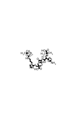 CC(C)(C)OC(=O)NCCCn1nnnc1SCC1(C(=O)O)CS[C@@H]2C(NC(=O)C(=NOC(C)(C)C(=O)O)c3nsc(N)n3)C(=O)N2C1